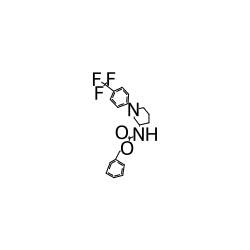 O=C(N[C@H]1CCCN(c2ccc(C(F)(F)F)cc2)C1)OCc1ccccc1